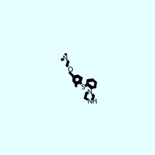 Cc1cc(COCCN(C)C)ccc1SC1=C(N2CCNCC2)CCC=C1